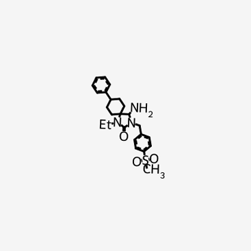 CCN1C(=O)N(Cc2ccc(S(C)(=O)=O)cc2)C(N)C12CCC(c1ccccc1)CC2